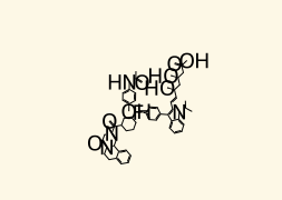 CC(=O)Nc1ccc(O)cc1.CC(C)n1c(/C=C/[C@@H](O)C[C@@H](O)CC(=O)O)c(-c2ccc(F)cc2)c2ccccc21.O=C(C1CCCCC1)N1CC(=O)N2CCc3ccccc3C2C1